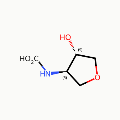 O=C(O)N[C@@H]1COC[C@H]1O